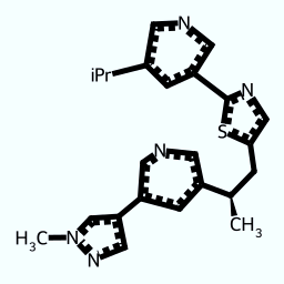 CC(C)c1cncc(-c2ncc(C[C@@H](C)c3cncc(-c4cnn(C)c4)c3)s2)c1